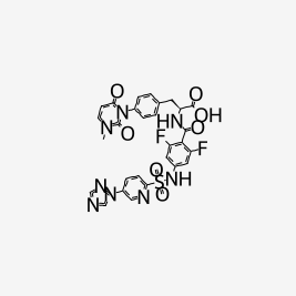 Cn1ccc(=O)n(-c2ccc(C[C@H](NC(=O)c3c(F)cc(NS(=O)(=O)c4ccc(-n5cncn5)cn4)cc3F)C(=O)O)cc2)c1=O